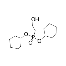 O=P(CCO)(OC1CCCCC1)OC1CCCCC1